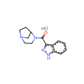 Cl.O=C(c1n[nH]c2ccccc12)N1CCN2CCC1C2